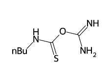 CCCCNC(=S)OC(=N)N